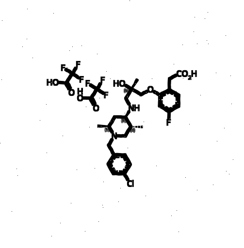 C[C@@H]1CN(Cc2ccc(Cl)cc2)[C@@H](C)C[C@H]1NC[C@](C)(O)COc1cc(F)ccc1CC(=O)O.O=C(O)C(F)(F)F.O=C(O)C(F)(F)F